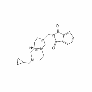 O=C1c2ccccc2C(=O)N1C[C@H]1CC[C@H]2CN(CC3CC3)CCN2C1